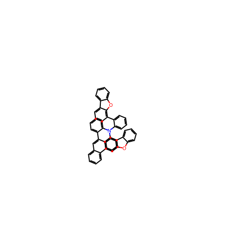 c1ccc(N(c2ccccc2-c2cccc3c2oc2ccccc23)c2cccc3oc4ccccc4c23)c(-c2cc3ccccc3c3ccccc23)c1